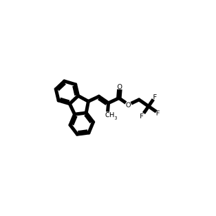 CC(=CC1c2ccccc2-c2ccccc21)C(=O)OCC(F)(F)F